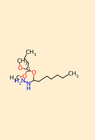 CCCCCCC(NN)O[Si](CCC)(OC)OC